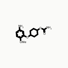 COc1ccc(N)cc1OC1CCC(OC(N)=O)CC1